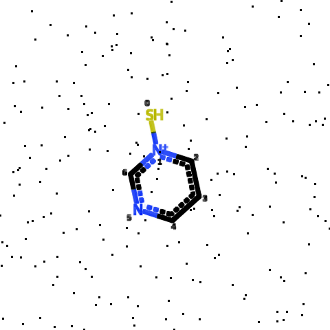 S[n+]1cccnc1